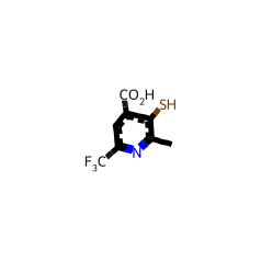 Cc1nc(C(F)(F)F)cc(C(=O)O)c1S